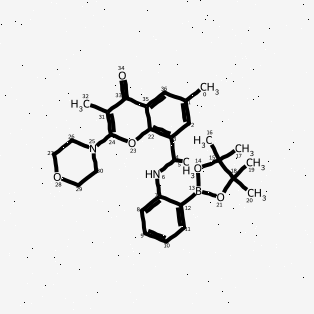 Cc1cc(C(C)Nc2ccccc2B2OC(C)(C)C(C)(C)O2)c2oc(N3CCOCC3)c(C)c(=O)c2c1